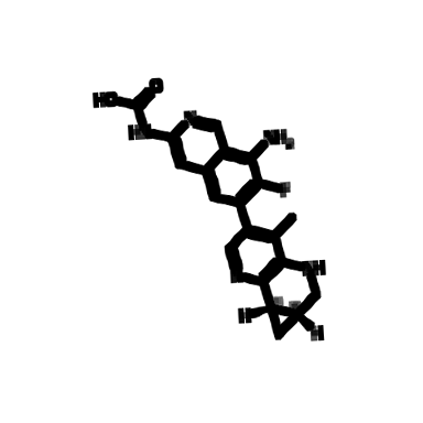 Cc1c(-c2cc3cc(NC(=O)O)ncc3c(N)c2F)cnc2c1NC[C@@H]1C[C@H]21